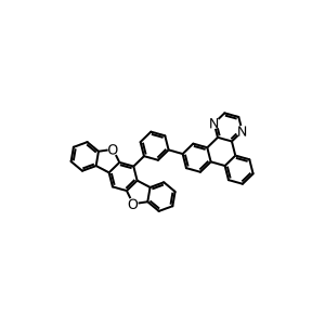 c1cc(-c2ccc3c4ccccc4c4nccnc4c3c2)cc(-c2c3oc4ccccc4c3cc3oc4ccccc4c23)c1